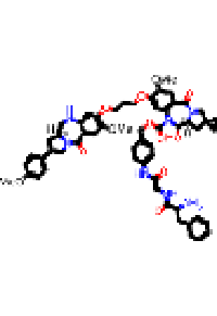 COc1ccc(C2=CN3C(=O)c4cc(OC)c(OCCCOc5cc6c(cc5OC)C(=O)N5CC7(CC7)C[C@H]5C(O)N6C(=O)OCc5ccc(NC(=O)CNC(=O)C(N)Cc6ccccc6)cc5)cc4NC[C@@H]3C2)cc1